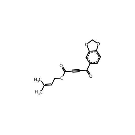 CC(C)=CCOC(=O)C#CC(=O)c1ccc2c(c1)OCO2